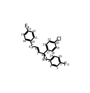 Fc1ccc(N=C(C=CSc2ccc(F)cc2)c2ccc(Cl)cc2)cc1